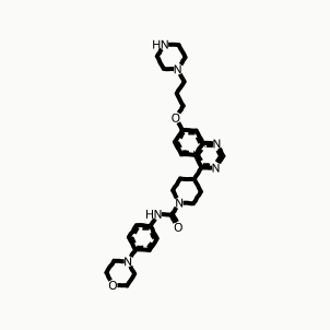 O=C(Nc1ccc(N2CCOCC2)cc1)N1CCC(c2ncnc3cc(OCCCN4CCNCC4)ccc23)CC1